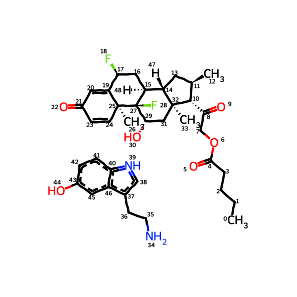 CCCCC(=O)OCC(=O)[C@H]1[C@H](C)C[C@H]2[C@@H]3C[C@H](F)C4=CC(=O)C=C[C@]4(C)[C@@]3(F)[C@@H](O)C[C@@]21C.NCCc1c[nH]c2ccc(O)cc12